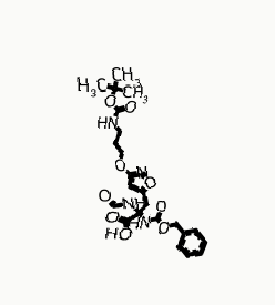 CC(C)(C)OC(=O)NCCCOc1cc(CC(NC=O)(NC(=O)OCc2ccccc2)C(=O)O)on1